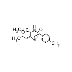 C=C(NS(=O)(=O)c1ccc(C)cc1)/C(Br)=C\C(C)OC